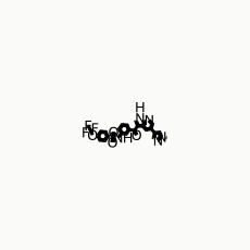 Cn1cc(-c2cnc3[nH]cc(C(=O)c4cccc(NS(=O)(=O)c5ccc(OC(F)(F)F)cc5)c4)c3c2)cn1